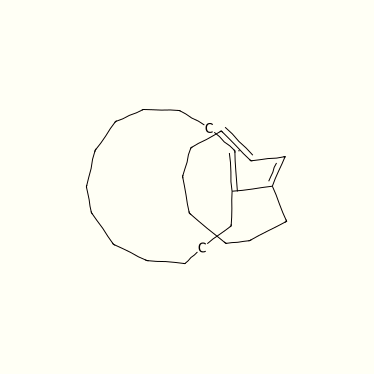 [C]1=C(/C2=C\C=C\CCCCCC2)CCCCCCCCCCCC/1